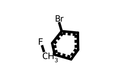 Brc1ccccc1.CF